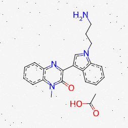 CC(=O)O.Cn1c(=O)c(-c2cn(CCCN)c3ccccc23)nc2ccccc21